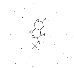 C[C@H]1C[C@@H](NC(=O)OC(C)(C)C)[C@@H](O)CO1